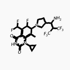 CC1=c2c(c(=O)[nH]c(=O)n2C2CC2)=C(C(F)F)C(F)C1N1CCC(C(N)C(C(F)(F)F)C(F)(F)F)C1